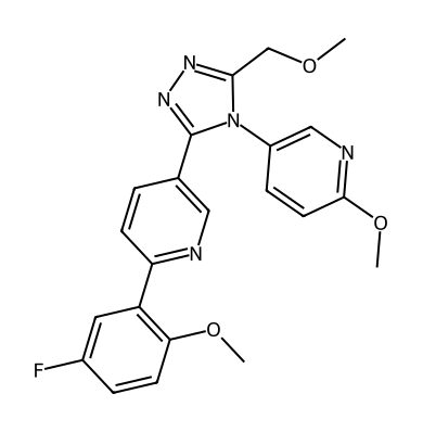 COCc1nnc(-c2ccc(-c3cc(F)ccc3OC)nc2)n1-c1ccc(OC)nc1